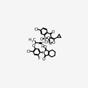 C#CC(C)Oc1cc(N2C(=O)C3=C(CCCC3)C2=O)c(F)cc1Cl.CS(=O)(=O)c1cc(Cl)ccc1C(=O)c1cnoc1C1CC1